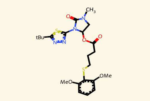 COc1cccc(OC)c1SCCCC(=O)OC1CN(C)C(=O)N1c1nnc(C(C)(C)C)s1